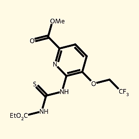 CCOC(=O)NC(=S)Nc1nc(C(=O)OC)ccc1OCC(F)(F)F